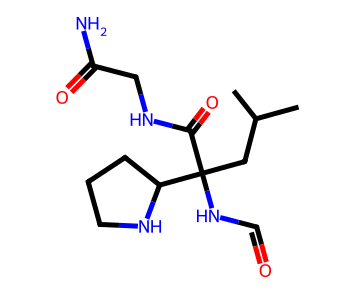 CC(C)CC(NC=O)(C(=O)NCC(N)=O)C1CCCN1